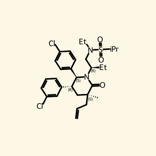 C=CC[C@@]1(C)C[C@H](c2cccc(Cl)c2)[C@@H](c2ccc(Cl)cc2)N([C@H](CC)CN(CC)S(=O)(=O)C(C)C)C1=O